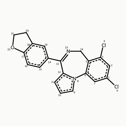 Clc1cc(Cl)c2c(c1)-n1cccc1C(c1ccc3c(c1)CCO3)=NC2